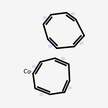 C1=C\C=C/C=C\C=C/1.C1=C\C=C/C=C\C=C/1.[Co]